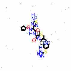 Nc1nc(C(=NOC2C=CCC2)C(=O)NC2C(=O)N3C(C(=O)[O-])=C(C[n+]4ccc(Sc5nnn[nH]5)cc4)CS[C@@H]23)ns1